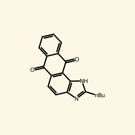 CCCCc1nc2ccc3c(c2[nH]1)C(=O)c1ccccc1C3=O